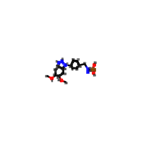 COc1cc2nnn(-c3ccc(CN[SH](=O)=O)cc3)c2cc1OC